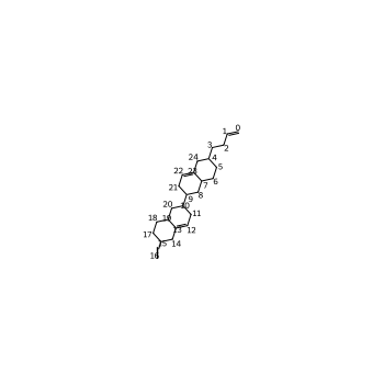 C=CCCC1CCC2CC(C3CC=C4CC(I)CCC4C3)CC=C2C1